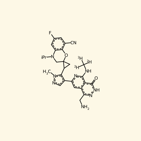 [2H]C([2H])([2H])Nc1nc(-c2cnn(C)c2C2CC23CN(C(C)C)c2cc(F)cc(C#N)c2O3)cc2c(CN)n[nH]c(=O)c12